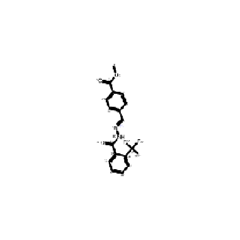 COC(=O)c1ccc(/C=N/NC(=O)c2ccccc2C(F)(F)F)cc1